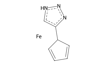 C1=CC(c2c[nH]nn2)C=C1.[Fe]